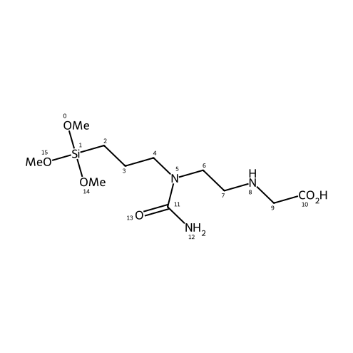 CO[Si](CCCN(CCNCC(=O)O)C(N)=O)(OC)OC